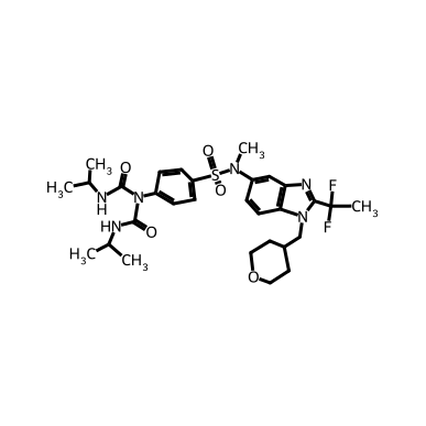 CC(C)NC(=O)N(C(=O)NC(C)C)c1ccc(S(=O)(=O)N(C)c2ccc3c(c2)nc(C(C)(F)F)n3CC2CCOCC2)cc1